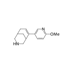 COc1ccc(C2=CCC3CNCC2C3)cn1